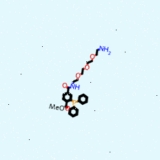 COC(=O)c1ccc(C(=O)NCCOCCOCCOCCN)cc1P(c1ccccc1)c1ccccc1